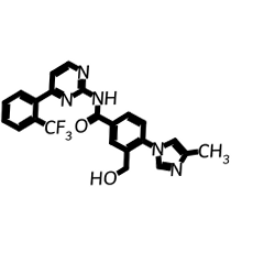 Cc1cn(-c2ccc(C(=O)Nc3nccc(-c4ccccc4C(F)(F)F)n3)cc2CO)cn1